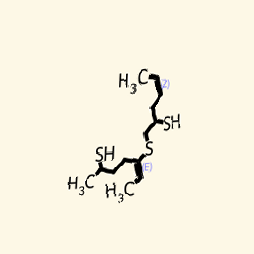 C/C=C\CC(S)CS/C(=C/C)CCC(C)S